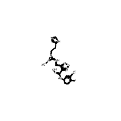 N#CN1C(NCc2nonc2/C(=N\O)Nc2ccc(F)c(Cl)c2)N1CCc1cnc[nH]1